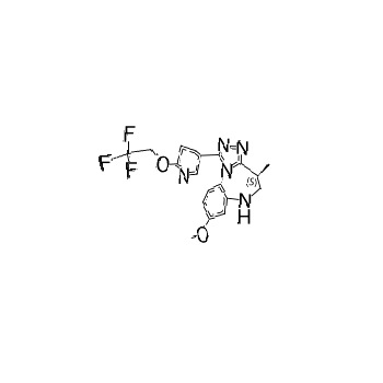 COc1ccc2c(c1)NC[C@H](C)c1nnc(-c3ccc(OCC(F)(F)F)nc3)n1-2